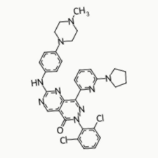 CN1CCN(c2ccc(Nc3ncc4c(=O)n(-c5c(Cl)cccc5Cl)nc(-c5cccc(N6CCCC6)n5)c4n3)cc2)CC1